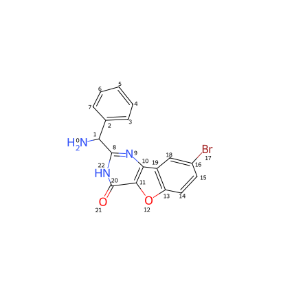 NC(c1ccccc1)c1nc2c(oc3ccc(Br)cc32)c(=O)[nH]1